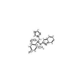 C[C@@H](n1cc2ccccc2n1)[C@](O)(Cn1cncn1)c1ccc(F)cc1F